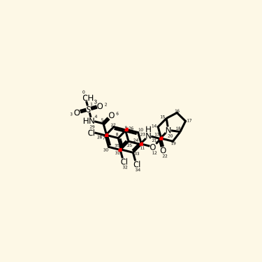 CS(=O)(=O)NC(=O)Cc1ccc(OC2CC3CCC(C2)N3C(=O)NCc2ccc(Cl)cc2Cl)c(Cl)c1